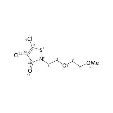 COCCOCCn1sc(Cl)c(Cl)c1=O